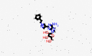 Nc1nc(-c2cnn(CCc3ccccc3)c2)nc2c1ncn2C1OC(CO)C(O)[C@H]1O